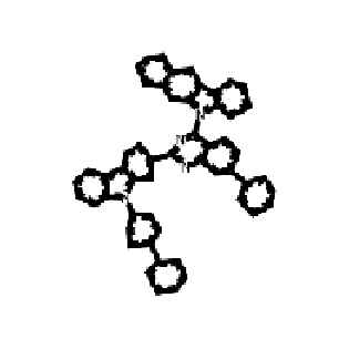 c1ccc(-c2ccc(-n3c4ccccc4c4ccc(-c5nc(-n6c7ccccc7c7cc8ccccc8cc76)c6ccc(-c7ccccc7)cc6n5)cc43)cc2)cc1